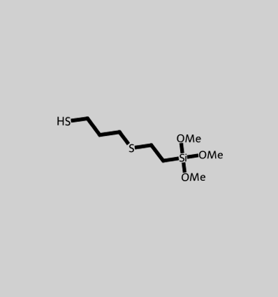 CO[Si](CCSCCCS)(OC)OC